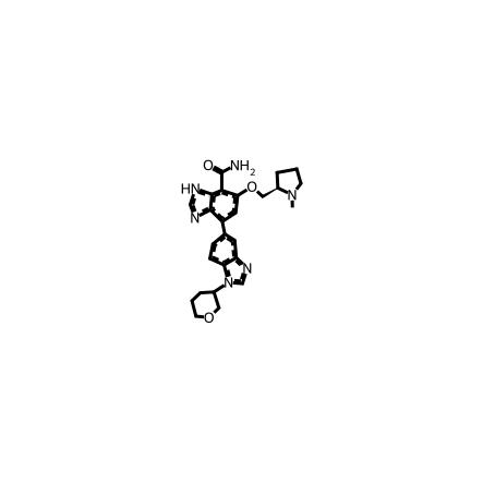 CN1CCC[C@@H]1COc1cc(-c2ccc3c(c2)ncn3C2CCCOC2)c2nc[nH]c2c1C(N)=O